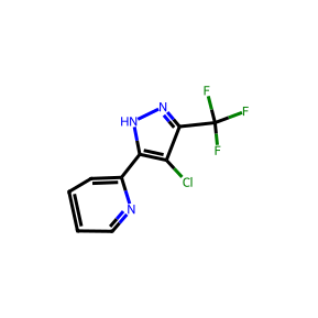 FC(F)(F)c1n[nH]c(-c2ccccn2)c1Cl